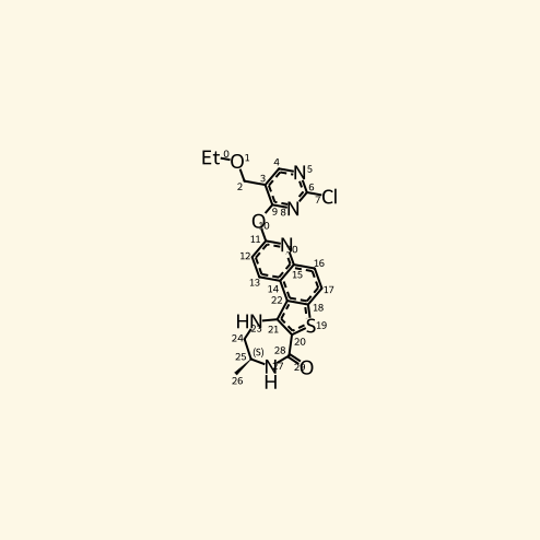 CCOCc1cnc(Cl)nc1Oc1ccc2c(ccc3sc4c(c32)NC[C@H](C)NC4=O)n1